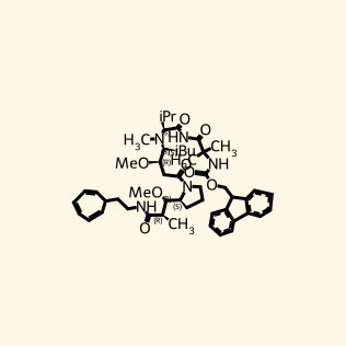 CC[C@H](C)[C@@H]([C@@H](CC(=O)N1CCC[C@H]1[C@H](OC)[C@@H](C)C(=O)NCCC1C=CC=CC=C1)OC)N(C)[C@H](C(=O)NC(=O)C(C)(C)NC(=O)OCC1c2ccccc2-c2ccccc21)C(C)C